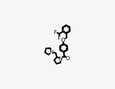 O=C(c1ccc(OCc2ccccc2C(F)F)cc1)N1CCCC1CN1CCCC1